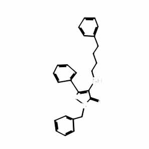 O=c1c(NCCCCc2ccccc2)c(-c2ccccc2)sn1Cc1ccccc1